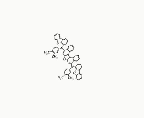 Cc1ccc(N(c2cc3oc4cc(N(c5ccc(C)c(C)c5)c5cccc6c5oc5ccccc56)c5ccccc5c4c3c3ccccc23)c2cccc3c2oc2ccccc23)cc1C